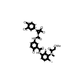 COCC(=O)N(C)c1c(F)ccc(NC(=O)c2cc(NC(=O)[C@H]3[C@H](c4ccc(Cl)c(Cl)c4)C3(Cl)Cl)ccc2Cl)c1F